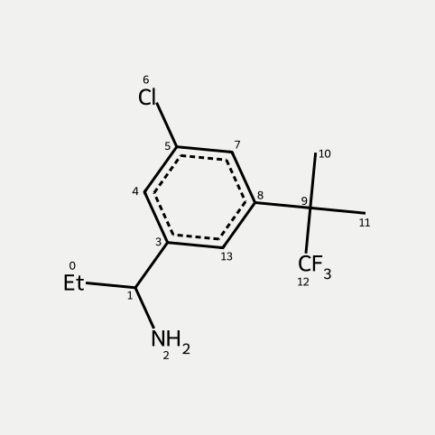 CCC(N)c1cc(Cl)cc(C(C)(C)C(F)(F)F)c1